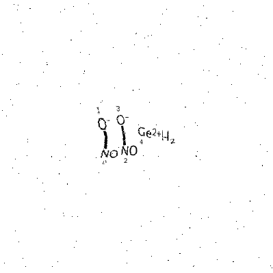 O=N[O-].O=N[O-].[GeH2+2]